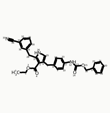 CCOC(=O)c1c(Cc2ccc(NC(=O)OCc3ccccc3)cc2)c[nH]c1Cc1cccc(C#N)c1